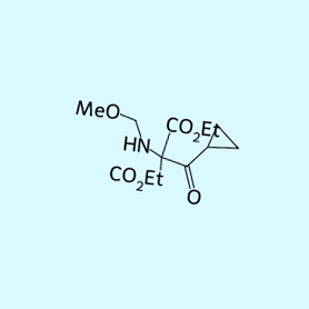 CCOC(=O)C(NCOC)(C(=O)OCC)C(=O)C1CC1